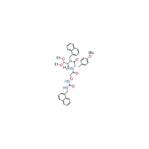 CCOC(OCC)[C@H](C)N(Cc1cccc2ccccc12)C(=O)[C@H](Cc1ccc(OC(C)(C)C)cc1)NC(=O)CONC(=O)NCc1cccc2ccccc12